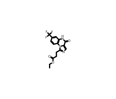 CCOC(=O)CCc1ncc2c(=O)[nH]c3cc(C(F)(F)F)ccc3n12